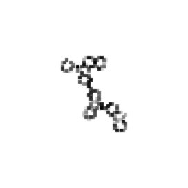 c1ccc(-n2c3ccc(-c4ccc5c(c4)c4ccccc4n5-c4ccc5sc6ccccc6c5c4)cc3c3c4ccccc4ccc32)cc1